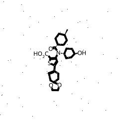 C[C@H]1CC[C@H](C(=O)N(c2cc(C3=CCC4(CC3)OCCO4)sc2C(=O)O)[C@H]2CC[C@H](O)CC2)CC1